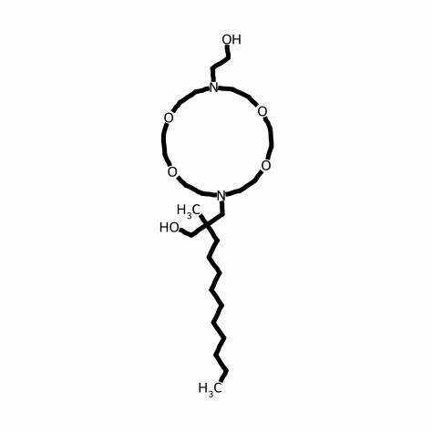 CCCCCCCCCCC(C)(CO)CN1CCOCCOCCN(CCO)CCOCCOCC1